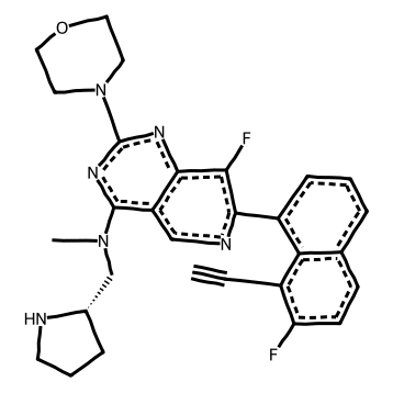 C#Cc1c(F)ccc2cccc(-c3ncc4c(N(C)C[C@@H]5CCCN5)nc(N5CCOCC5)nc4c3F)c12